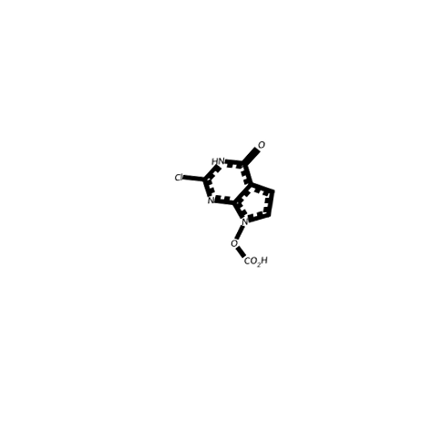 O=C(O)On1ccc2c(=O)[nH]c(Cl)nc21